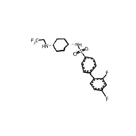 O=S(=O)(N[C@H]1CC[C@@H](NCC(F)(F)F)CC1)c1ccc(-c2ccc(F)cc2F)cc1